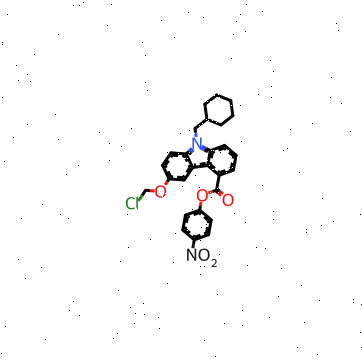 O=C(Oc1ccc([N+](=O)[O-])cc1)c1cccc2c1c1cc(OCCl)ccc1n2CC1CCCCC1